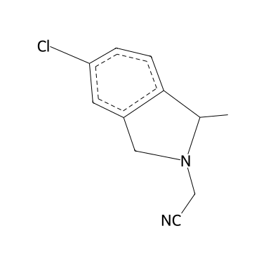 CC1c2ccc(Cl)cc2CN1CC#N